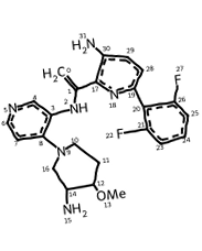 C=C(Nc1cnccc1N1CCC(OC)C(N)C1)c1nc(-c2c(F)cccc2F)ccc1N